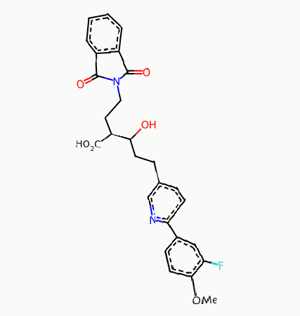 COc1ccc(-c2ccc(CCC(O)C(CCN3C(=O)c4ccccc4C3=O)C(=O)O)cn2)cc1F